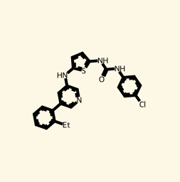 CCc1ccccc1-c1cncc(Nc2ccc(NC(=O)Nc3ccc(Cl)cc3)s2)c1